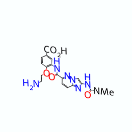 CNC(=O)Nc1cn2nc(C(=O)Nc3cc(C(=O)O)ccc3OCCN)ccc2n1